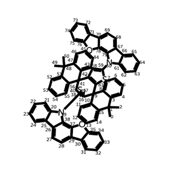 CC1(C)c2ccccc2C2(c3ccccc31)c1cc(-n3c4ccccc4c4ccc5c6ccccc6oc5c43)sc1C1(c3ccccc3C(C)(C)c3ccccc31)c1cc(-n3c4ccccc4c4ccc5c6ccccc6oc5c43)sc12